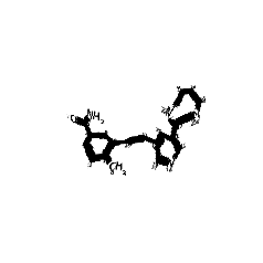 Cc1ccc(C(N)=O)cc1C#Cc1cncc(-c2ncccn2)c1